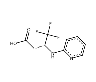 O=C(O)C[C@@H](Nc1ccccn1)C(F)(F)F